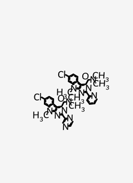 CN(C)C(=O)c1nc(-c2ccccn2)nc2c1c1ccc(Cl)cc1n2C.CN(C)C(=O)c1nc(-c2cnccn2)nc2c1c1ccc(Cl)cc1n2C